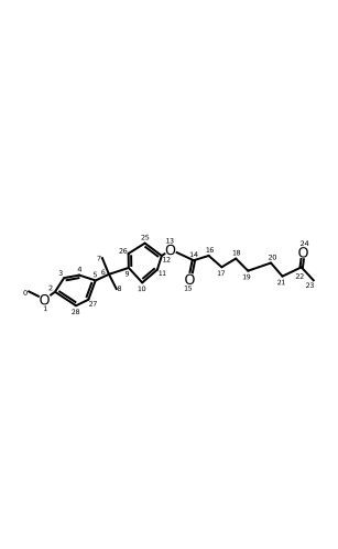 COc1ccc(C(C)(C)c2ccc(OC(=O)CCCCCCC(C)=O)cc2)cc1